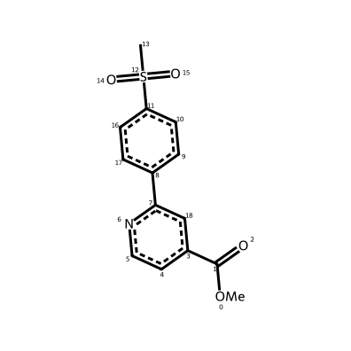 COC(=O)c1ccnc(-c2ccc(S(C)(=O)=O)cc2)c1